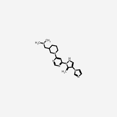 C=C1C(n2ccnc2)=CNN1c1cc(N2CCCC(CN(C)C)C2)ncn1